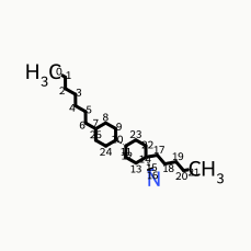 CCCCCCCC1CCC([C@H]2CC[C@](C#N)(CCCCC)CC2)CC1